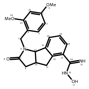 COc1ccc(CN2C(=O)CC3Cc4c(C(=N)NO)cccc4C32)c(OC)c1